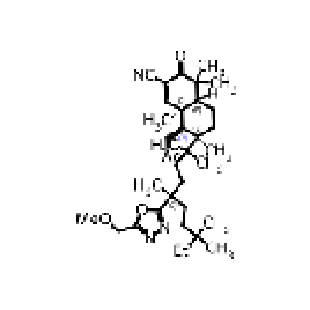 CCC(C)(C)CC[C@@](C)(CCC(C)(C)[C@]1(C)CC[C@H]2C(C)(C)C(=O)C(C#N)=C[C@]2(C)/C1=C/C(C)=O)c1nnc(COC)o1